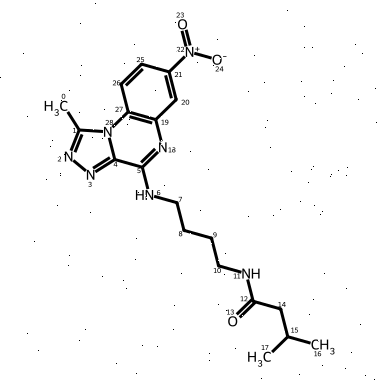 Cc1nnc2c(NCCCCNC(=O)CC(C)C)nc3cc([N+](=O)[O-])ccc3n12